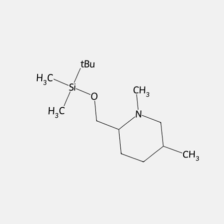 CC1CCC(CO[Si](C)(C)C(C)(C)C)N(C)C1